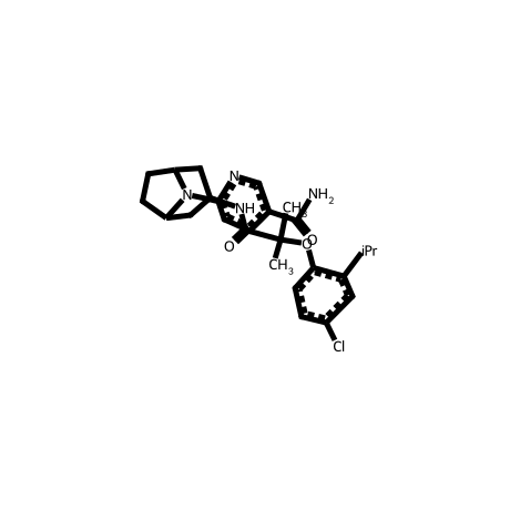 CC(C)c1cc(Cl)ccc1OC(C)(C)C(=O)NC1CC2CCC(C1)N2c1ccc(C(N)=O)cn1